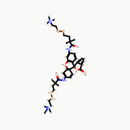 CC(C)(CCSSCC[N+](C)(C)C)C(=O)Nc1ccc2c(c1)Oc1cc(NC(=O)C(C)(C)CCSSCC[N+](C)(C)C)ccc1C21OC(=O)c2ccccc21